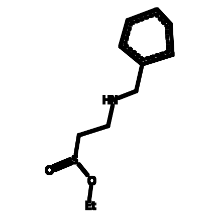 CCOS(=O)CCNCc1ccccc1